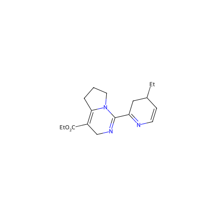 CCOC(=O)C1=C2CCCN2C(C2=NC=CC(CC)C2)=NC1